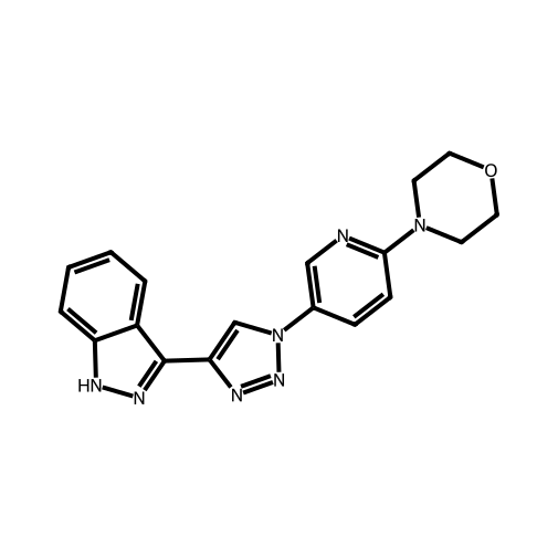 c1ccc2c(-c3cn(-c4ccc(N5CCOCC5)nc4)nn3)n[nH]c2c1